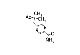 CC(=O)C(C)(C)Cc1ccc(C(N)=O)cc1